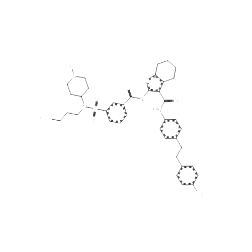 CC(C)N1CCC(N(CCCC(=O)O)S(=O)(=O)c2cccc(C(=O)Nc3sc4c(c3C(=O)Nc3ccc(CCc5ccc(C(=O)O)cc5)cc3)CCCC4)c2)CC1